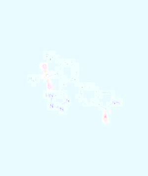 CS(=O)(=O)c1c(C(F)(F)F)ccc(-c2ccc3c(c2)CNC3=O)c1-c1nnn[nH]1